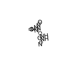 O=C(Nc1ccncc1)Nc1ccc(-c2nc(N3CCOCC3)nc(N3CC4CCC(C3)O4)n2)cc1